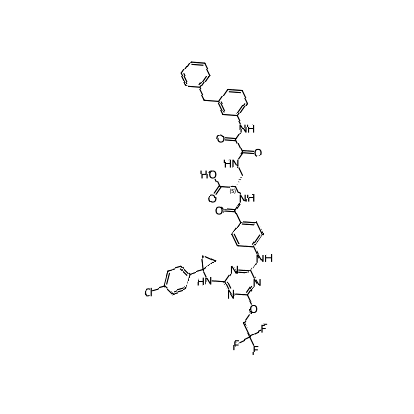 O=C(NC[C@H](NC(=O)c1ccc(Nc2nc(NC3(c4ccc(Cl)cc4)CC3)nc(OCC(F)(F)F)n2)cc1)C(=O)O)C(=O)Nc1cccc(Cc2ccccc2)c1